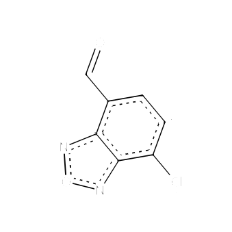 O=Cc1ccc(Cl)c2nonc12